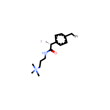 CC(C)Cc1ccc([C@@H](C)C(=O)NCCC[N+](C)(C)C)cc1.[I-]